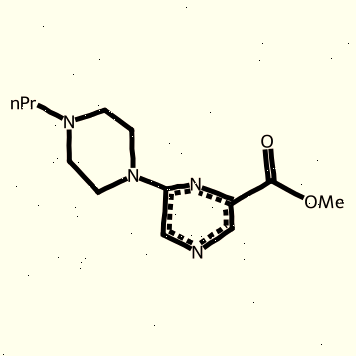 CCCN1CCN(c2cncc(C(=O)OC)n2)CC1